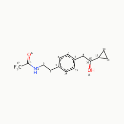 O=C(NCCc1ccc(C[C@H](O)C2CC2)cc1)C(F)(F)F